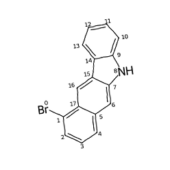 Brc1cccc2cc3[nH]c4ccccc4c3cc12